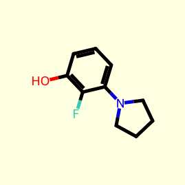 Oc1cccc(N2CCCC2)c1F